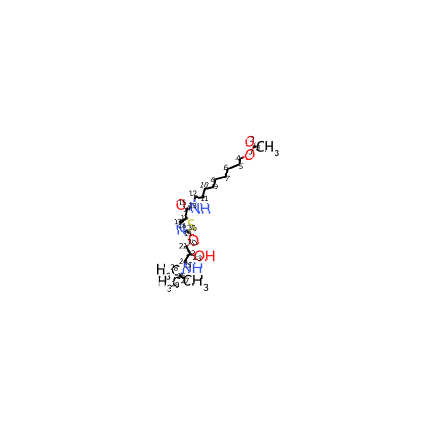 CC(=O)OCCCCCCCCCNC(=O)c1cnc(OCC(O)CNC(C)(C)C)s1